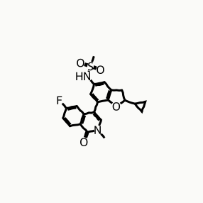 Cn1cc(-c2cc(NS(C)(=O)=O)cc3c2OC(C2CC2)C3)c2cc(F)ccc2c1=O